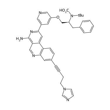 CC(C)(C)N(C(=O)O)[C@H](COc1cncc(-c2cc3c(cnc4cc(C#CCCn5ccnc5)ccc43)c(N)n2)c1)Cc1ccccc1